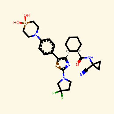 N#CC1(NC(=O)[C@@H]2CCCC[C@H]2c2nc(N3CCC(F)(F)C3)sc2-c2ccc(N3CCS(O)(O)CC3)cc2)CC1